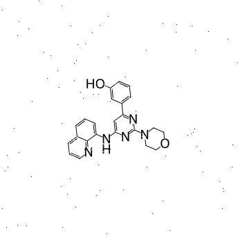 Oc1cccc(-c2cc(Nc3cccc4cccnc34)nc(N3CCOCC3)n2)c1